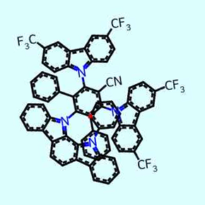 N#Cc1c(-n2c3ccc(C(F)(F)F)cc3c3cc(C(F)(F)F)ccc32)c(-c2ccccc2)c(-n2c3ccccc3c3ccc4c5ccccc5n(-c5ccccc5)c4c32)c(-c2ccccc2)c1-n1c2ccc(C(F)(F)F)cc2c2cc(C(F)(F)F)ccc21